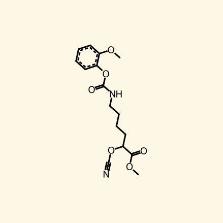 COC(=O)C(CCCCNC(=O)Oc1ccccc1OC)OC#N